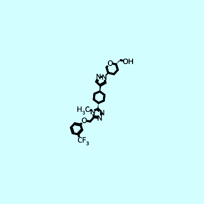 Cn1c(COc2cccc(C(F)(F)F)c2)nnc1[C@H]1CC[C@H](c2cnn([C@@H]3CC[C@@H](CO)OC3)c2)CC1